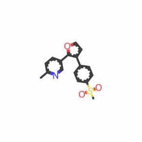 Cc1ccc(-c2occc2-c2ccc(S(C)(=O)=O)cc2)cn1